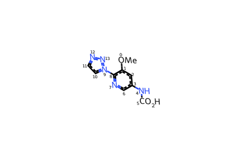 COc1cc(NC(=O)O)cnc1-n1ccnn1